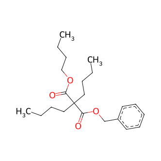 CCCCOC(=O)C(CCCC)(CCCC)C(=O)OCc1ccccc1